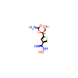 N=C(NO)c1csc([C@H](CO)OC(N)=O)c1